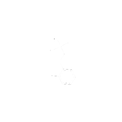 CC(C)[Si](CSc1ccccc1O)(C(C)C)C(C)C